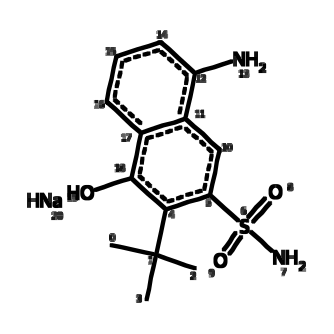 CC(C)(C)c1c(S(N)(=O)=O)cc2c(N)cccc2c1O.[NaH]